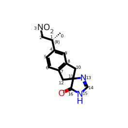 C[C@@H](C[N+](=O)[O-])c1ccc2c(c1)CC1(C2)N=CNC1=O